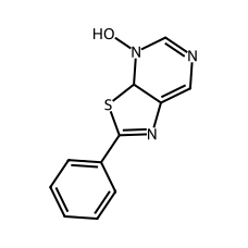 ON1C=NC=C2N=C(c3ccccc3)SC21